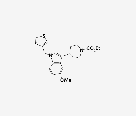 CCOC(=O)N1CCC(c2cn(Cc3ccsc3)c3ccc(OC)cc23)CC1